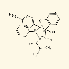 CN(C)C(=O)[C@H]1[C@@H](O)[C@@]2(O)c3ccncc3O[C@@]2(c2ccc(C#N)cc2)[C@@H]1C1C=CC=CC1